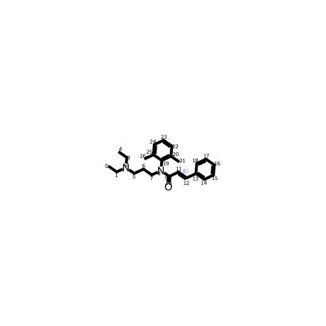 CCN(CC)CCCN(C(=O)/C=C/c1ccccc1)c1c(C)cccc1C